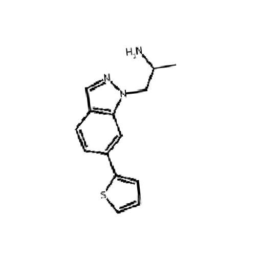 CC(N)Cn1ncc2ccc(-c3cccs3)cc21